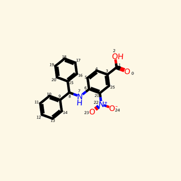 O=C(O)c1ccc(NC(c2ccccc2)c2ccccc2)c([N+](=O)[O-])c1